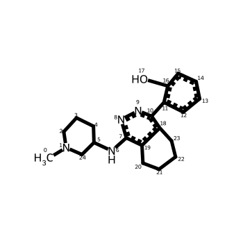 CN1CCCC(Nc2nnc(-c3ccccc3O)c3c2CCCC3)C1